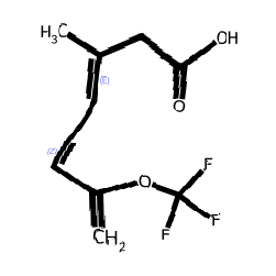 C=C(/C=C\C=C(/C)CC(=O)O)OC(F)(F)F